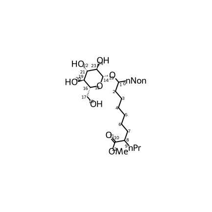 CCCCCCCCCC(CCCCCCC(CCC)C(=O)OC)O[C@@H]1O[C@H](CO)[C@@H](O)[C@H](O)[C@H]1O